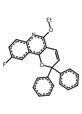 CCOc1nc2ccc(F)cc2c2c1C=CC(c1ccccc1)(c1ccccc1)O2